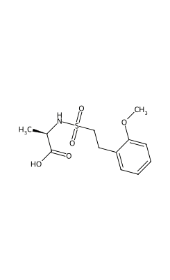 COc1ccccc1CCS(=O)(=O)N[C@H](C)C(=O)O